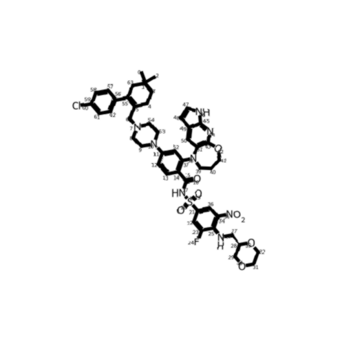 CC1(C)CCC(CN2CCN(c3ccc(C(=O)NS(=O)(=O)c4cc(F)c(NC[C@@H]5COCCO5)c([N+](=O)[O-])c4)c(N4CCCOc5nc6[nH]ccc6cc54)c3)CC2)=C(c2ccc(Cl)cc2)C1